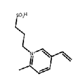 C=Cc1ccc(C)[n+](CCCS(=O)(=O)O)c1